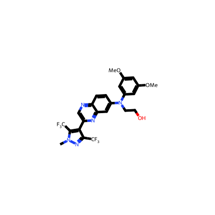 COc1cc(OC)cc(N(CCO)c2ccc3ncc(-c4c(C(F)(F)F)nn(C)c4C(F)(F)F)nc3c2)c1